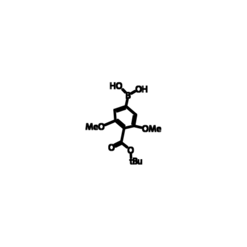 COc1cc(B(O)O)cc(OC)c1C(=O)OC(C)(C)C